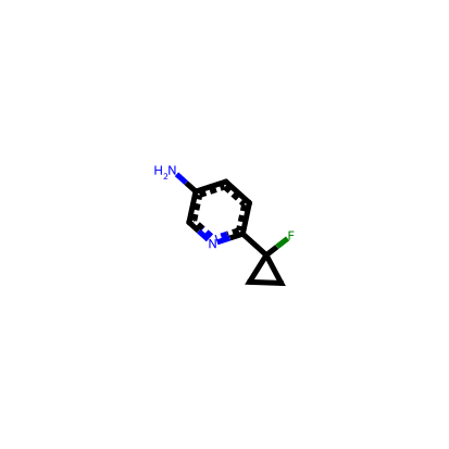 Nc1ccc(C2(F)CC2)nc1